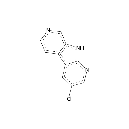 Clc1cnc2[nH]c3cnccc3c2c1